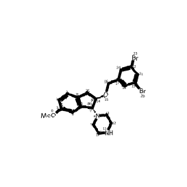 COc1ccc2c(c1)[C@@H](N1CCNCC1)[C@H](OCc1cc(Br)cc(Br)c1)C2